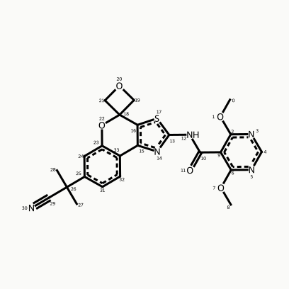 COc1ncnc(OC)c1C(=O)Nc1nc2c(s1)C1(COC1)Oc1cc(C(C)(C)C#N)ccc1-2